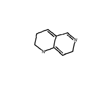 C1=NCC=C2[N]CCC=C12